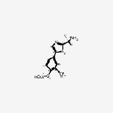 [CH2][C@@](C)(N)c1ncc(-c2ccc(OCCCCCCCC)c(C(F)(F)F)c2)s1